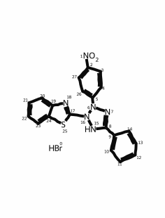 Br.O=[N+]([O-])c1ccc(N2N=C(c3ccccc3)NN2c2nc3ccccc3s2)cc1